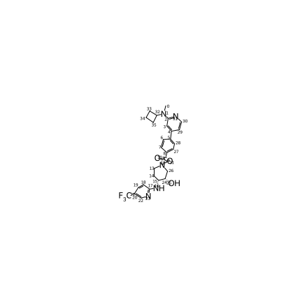 CN(c1cc(-c2ccc(S(=O)(=O)N3CC[C@@H](Nc4ccc(C(F)(F)F)cn4)[C@@H](O)C3)cc2)ccn1)C1CCC1